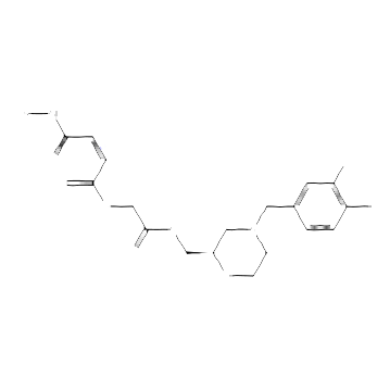 C=C(/C=C\C(=O)NN)SCC(=O)NC[C@H]1CN(Cc2ccc(Cl)c(Cl)c2)CCO1